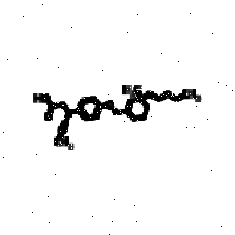 CC#CC(CC(=O)O)c1ccc(OCC2CCCC(C)(CCCCC)C2)cc1